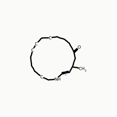 CC1/C=C/NCCCCCCCCCCCCC(=O)C1